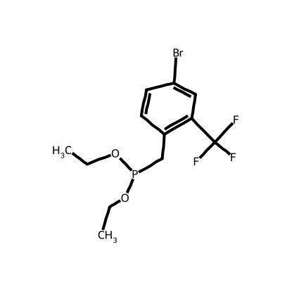 CCOP(Cc1ccc(Br)cc1C(F)(F)F)OCC